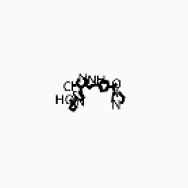 CN1CCCN(C(=O)c2ccc(-c3cc4c(-c5cnc(C6(O)CCC6)s5)c(Cl)cnc4[nH]3)cc2)CC1